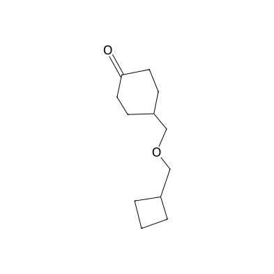 O=C1CCC(COCC2CCC2)CC1